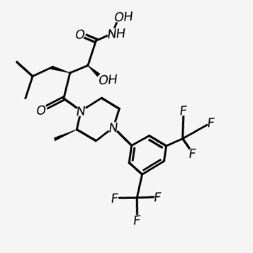 CC(C)C[C@H](C(=O)N1CCN(c2cc(C(F)(F)F)cc(C(F)(F)F)c2)C[C@H]1C)[C@H](O)C(=O)NO